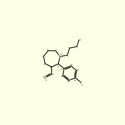 CCCCN1CCCCC(C=O)C1c1ccc(F)cc1